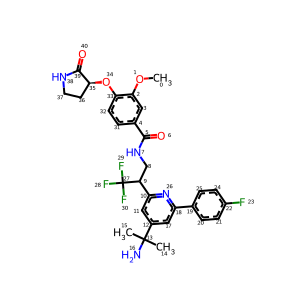 COc1cc(C(=O)NCC(c2cc(C(C)(C)N)cc(-c3ccc(F)cc3)n2)C(F)(F)F)ccc1O[C@H]1CCNC1=O